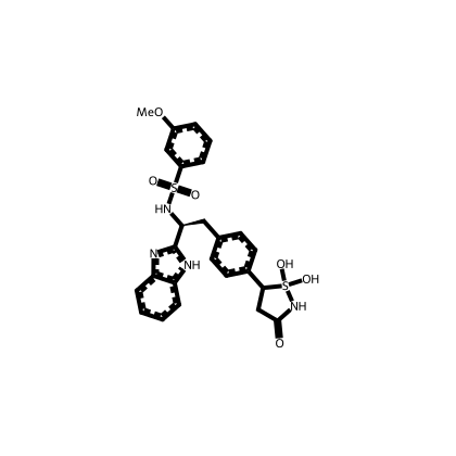 COc1cccc(S(=O)(=O)N[C@@H](Cc2ccc(C3CC(=O)NS3(O)O)cc2)c2nc3ccccc3[nH]2)c1